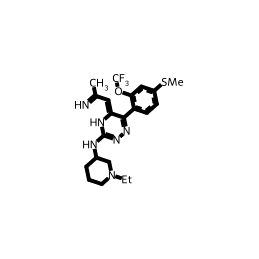 CCN1CCCC(NC2=NN=C(c3ccc(SC)cc3OC(F)(F)F)/C(=C/C(C)=N)N2)C1